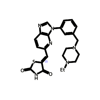 CCN1CCN(Cc2cccc(-n3cnc4ccc(/C=C5\SC(=O)NC5=O)nc43)c2)CC1